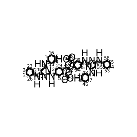 O=S(=O)(O)c1cc(Nc2nc(Nc3ccccc3)cc(Nc3ccccc3)n2)ccc1/C=C/c1ccc(Nc2nc(Nc3ccccc3)cc(Nc3ccccc3)n2)cc1S(=O)(=O)O